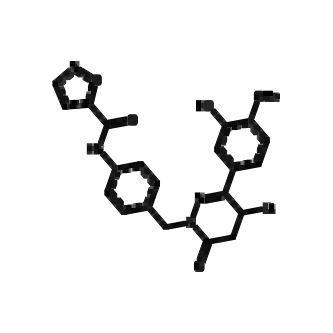 CCC1CC(=O)N(Cc2ccc(NC(=O)c3ccno3)cc2)N=C1c1ccc(OC)c(O)c1